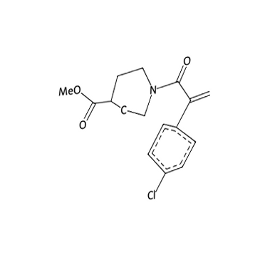 C=C(C(=O)N1CCC(C(=O)OC)CC1)c1ccc(Cl)cc1